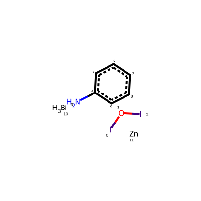 IOI.Nc1ccccc1.[BiH3].[Zn]